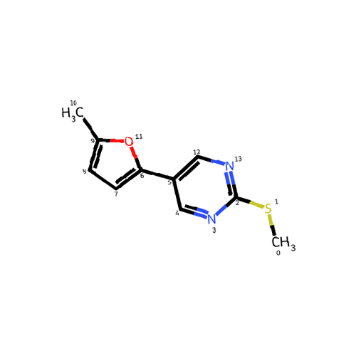 CSc1ncc(-c2ccc(C)o2)cn1